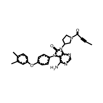 CC#CC(=O)N1CCC(n2c(=O)n(-c3ccc(Oc4ccc(C)c(C)c4)cc3)c3c(N)ncnc32)C1